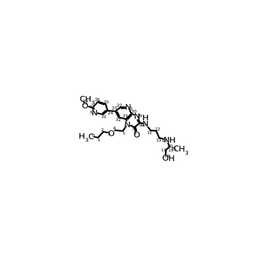 CCCOCCn1c(=O)c(NCCCN[C@H](C)CO)nc2ncc(-c3ccc(OC)nc3)cc21